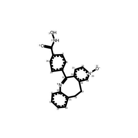 O=C(NO)c1ccc(/C2=N/c3ccccc3CCc3c[n+]([O-])ccc32)cc1